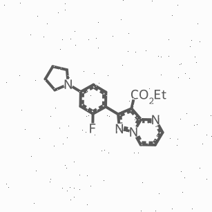 CCOC(=O)c1c(-c2ccc(N3CCCC3)cc2F)nn2cccnc12